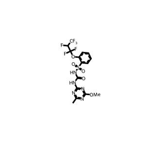 COc1nc(C)nc(NC(=O)NS(=O)(=O)c2ccccc2OC(F)(F)C(F)C(F)(F)F)n1